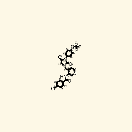 O=C(Nc1cnccc1CN1CC(=O)N(c2ccc(OC(F)(F)F)cc2)C1=O)c1ccc(Cl)cc1